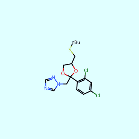 CCCCSCC1COC(Cn2cncn2)(c2ccc(Cl)cc2Cl)O1